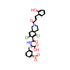 O=C(N[C@@H](Cc1cccc([SH](=O)=O)c1)C(=O)O)c1c(Cl)cc2c(c1Cl)CCN(C(=O)/C=C/c1ccccc1O)C2